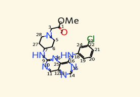 COC(=O)CN1CCC(Nc2ncc3ncnc(Nc4cccc(Cl)c4)c3n2)CC1